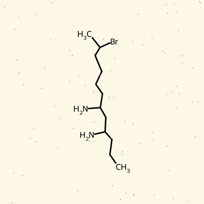 CCCC(N)CC(N)CCCCC(C)Br